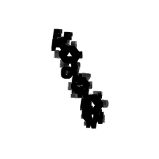 O=C(Cc1ccc(C(F)(F)F)cc1)N1CCN(c2ccc3nncn3n2)CC1